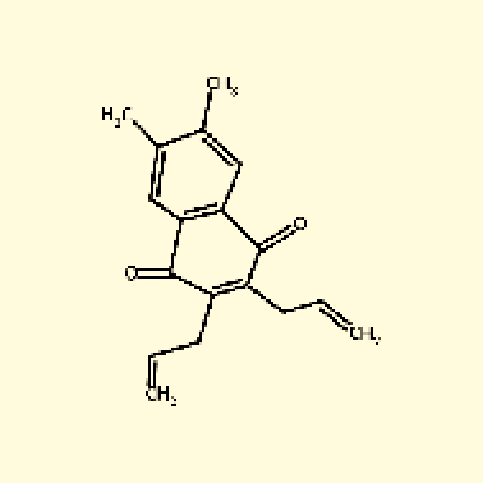 C=CCC1=C(CC=C)C(=O)c2cc(C)c(C)cc2C1=O